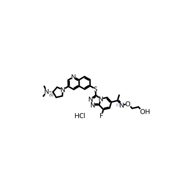 C/C(=N\OCCO)c1cc(F)c2nnc(Sc3ccc4ncc(N5CC[C@H](N(C)C)C5)cc4c3)n2c1.Cl